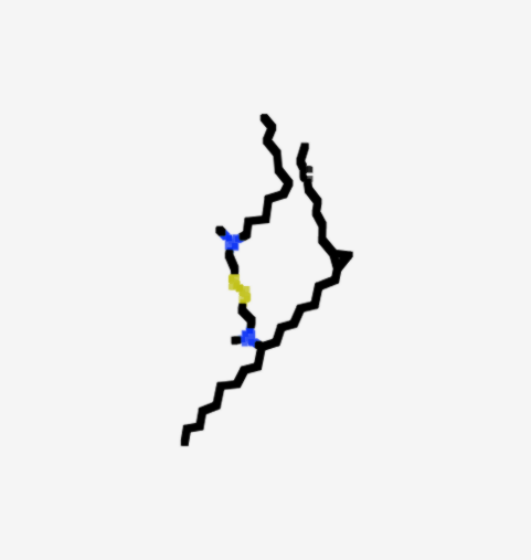 CCCCCCCCCCCN(C)CCSSCCN(C)C(CCCCCCCCC)CCCCCCCC1CC1CCCCCCCC